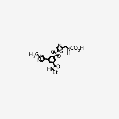 CCNC(=O)c1cc(-c2cnn(C)c2)cc(S(=O)(=O)c2cnc(CNC(=O)O)s2)c1